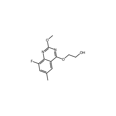 COc1nc(OCCO)c2cc(C)cc(F)c2n1